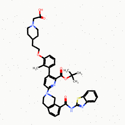 Cc1c(OCCC2CCN(CC(=O)O)CC2)cccc1-c1ccc(N2CCc3cccc(C(=O)Nc4nc5ccccc5s4)c3C2)nc1C(=O)OC(C)(C)C